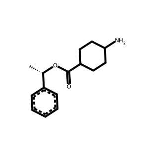 C[C@H](OC(=O)C1CCC(N)CC1)c1ccccc1